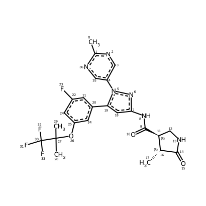 Cc1ncc(-n2nc(NC(=O)[C@H]3CNC(=O)[C@@H]3C)cc2-c2cc(F)cc(OC(C)(C)C(F)(F)F)c2)cn1